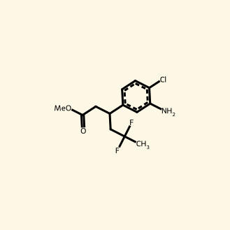 COC(=O)CC(CC(C)(F)F)c1ccc(Cl)c(N)c1